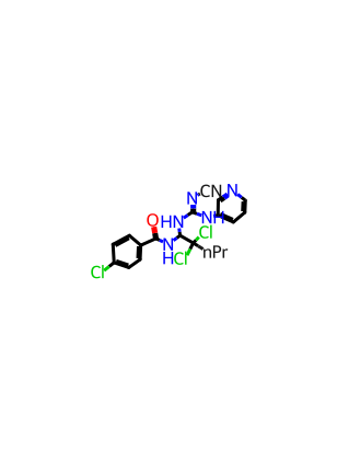 CCCC(Cl)(Cl)C(NC(=O)c1ccc(Cl)cc1)N/C(=N/C#N)Nc1cccnc1